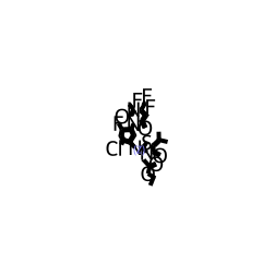 CCOC(=O)CN1C(=O)C(=C(C)C)S/C1=N\c1cc(-n2c(=O)cc(C(F)(F)F)n(C)c2=O)c(F)cc1Cl